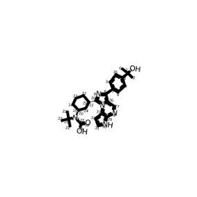 CC(C)(O)c1ccc(-c2nc([C@H]3CCC[C@H](N(C(=O)O)C(C)(C)C)C3)n3c2cnc2[nH]ccc23)cc1